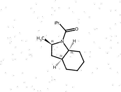 CC(C)C(=O)N1[C@H](C)C[C@@H]2CCCC[C@@H]21